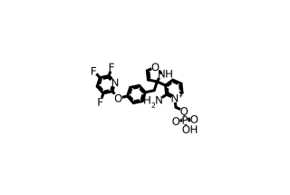 Nc1c(C2(Cc3ccc(Oc4nc(F)c(F)cc4F)cc3)C=CON2)ccc[n+]1COP(=O)([O-])O